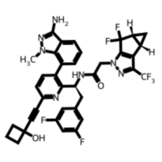 Cn1nc(N)c2cccc(-c3ccc(C#CC4(O)CCC4)nc3[C@H](Cc3cc(F)cc(F)c3)NC(=O)Cn3nc(C(F)(F)F)c4c3C(F)(F)[C@@H]3C[C@H]43)c21